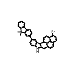 CC1(C)c2ccccc2-c2ccc(-c3ccc4[nH]c5cc6ccc7ccc(Br)c8ccc(c5c4c3)c6c78)cc21